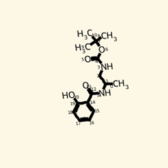 CC(CNC(=O)OC(C)(C)C)NC(=O)c1ccccc1O